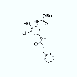 CC(C)COC(=O)Nc1cc(NC(=O)CCc2ccccc2)cc(Cl)c1O